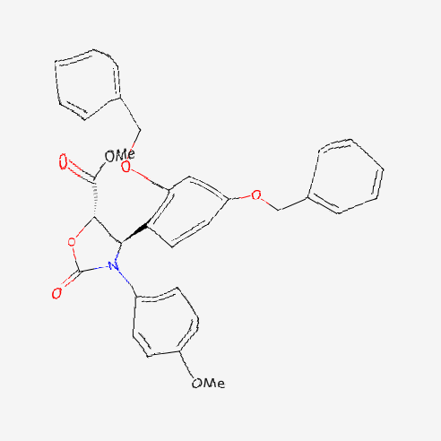 COC(=O)[C@H]1OC(=O)N(c2ccc(OC)cc2)[C@@H]1c1ccc(OCc2ccccc2)cc1OCc1ccccc1